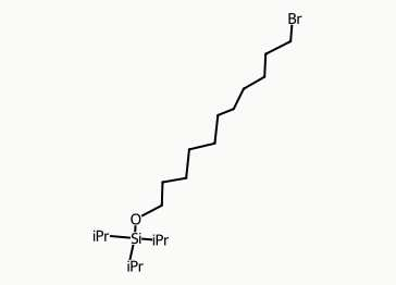 CC(C)[Si](OCCCCCCCCCCCBr)(C(C)C)C(C)C